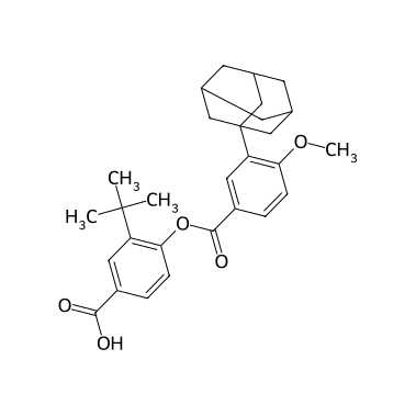 COc1ccc(C(=O)Oc2ccc(C(=O)O)cc2C(C)(C)C)cc1C12CC3CC(CC(C3)C1)C2